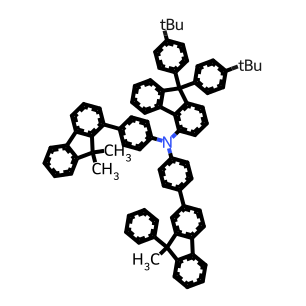 CC(C)(C)c1ccc(C2(c3ccc(C(C)(C)C)cc3)c3ccccc3-c3c(N(c4ccc(-c5ccc6c(c5)C(C)(c5ccccc5)c5ccccc5-6)cc4)c4ccc(-c5cccc6c5C(C)(C)c5ccccc5-6)cc4)cccc32)cc1